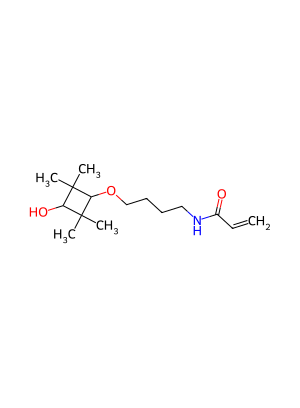 C=CC(=O)NCCCCOC1C(C)(C)C(O)C1(C)C